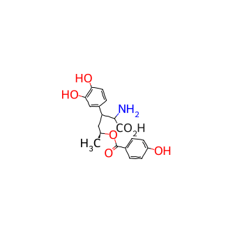 C[C@@H](CC(c1ccc(O)c(O)c1)C(N)C(=O)O)OC(=O)c1ccc(O)cc1